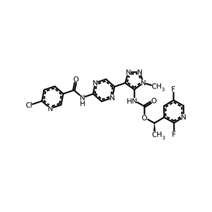 C[C@@H](OC(=O)Nc1c(-c2cnc(NC(=O)c3ccc(Cl)nc3)cn2)nnn1C)c1cc(F)cnc1F